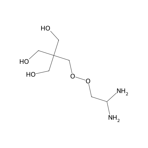 NC(N)COOCC(CO)(CO)CO